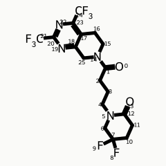 O=C(CCCN1CC(F)(F)CCC1=O)N1CCc2c(nc(C(F)(F)F)nc2C(F)(F)F)C1